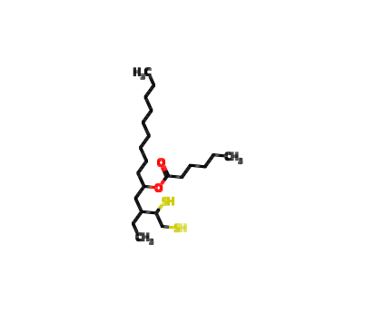 CCCCCCCCCC(CC(CC)C(S)CS)OC(=O)CCCCC